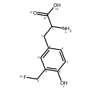 NC(Cc1ccc(O)c(CF)c1)C(=O)O